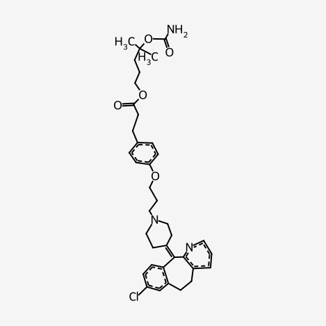 CC(C)(CCCOC(=O)CCc1ccc(OCCCN2CCC(=C3c4ccc(Cl)cc4CCc4cccnc43)CC2)cc1)OC(N)=O